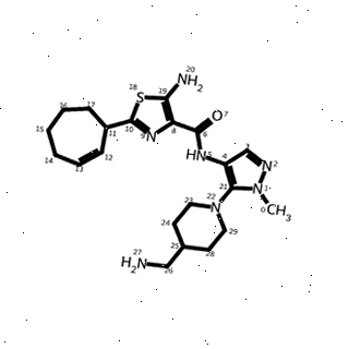 Cn1ncc(NC(=O)c2nc(C3C=CCCCC3)sc2N)c1N1CCC(CN)CC1